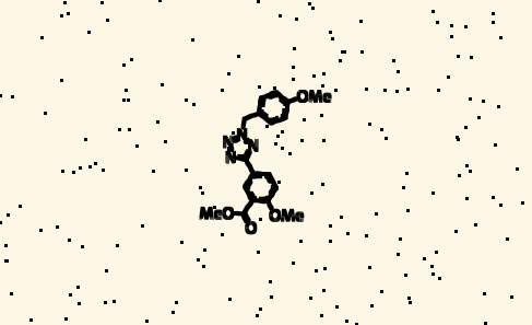 COC(=O)c1cc(-c2nnn(Cc3ccc(OC)cc3)n2)ccc1OC